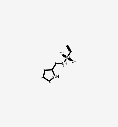 C=CS(=O)(=O)NCC1CCCN1